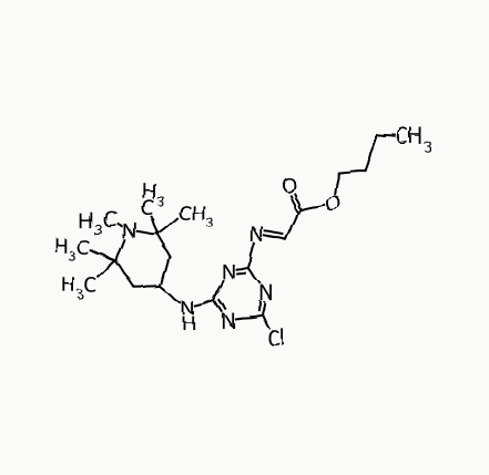 CCCCOC(=O)C=Nc1nc(Cl)nc(NC2CC(C)(C)N(C)C(C)(C)C2)n1